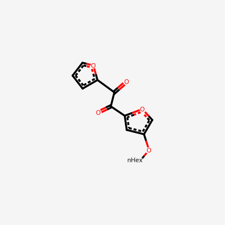 CCCCCCOc1coc(C(=O)C(=O)c2ccco2)c1